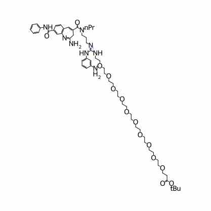 CCCN(CCC/N=C(/NCCOCCOCCOCCOCCOCCOCCOCCOCCOCCOCCC(=O)OC(C)(C)C)Nc1cccc(N)c1)C(=O)C1=Cc2ccc(C(=O)Nc3ccccc3)cc2N=C(N)C1